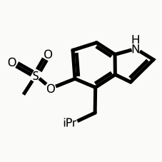 CC(C)Cc1c(OS(C)(=O)=O)ccc2[nH]ccc12